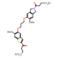 CCOC(=O)CCC(=O)c1cc2cc(OCCCOc3cc4c(cc3OC)CN(C(=O)CCC(=O)OCC)C4)c(OC)cc2s1